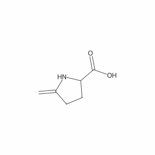 C=C1CCC(C(=O)O)N1